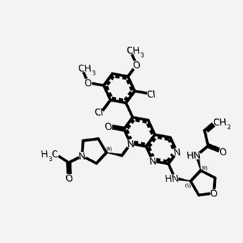 C=CC(=O)N[C@H]1COC[C@H]1Nc1ncc2cc(-c3c(Cl)c(OC)cc(OC)c3Cl)c(=O)n(C[C@@H]3CCN(C(C)=O)C3)c2n1